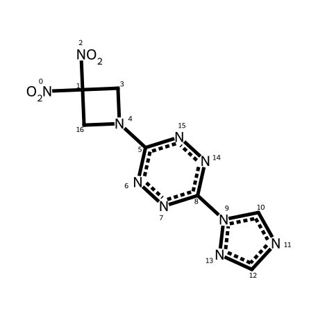 O=[N+]([O-])C1([N+](=O)[O-])CN(c2nnc(-n3cncn3)nn2)C1